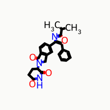 CC(C)c1nc(-c2ccc3c(c2)CN(C2CCC(=O)NC2=O)C3=O)c(-c2ccccc2)o1